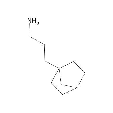 NCCCC12CCC(CC1)C2